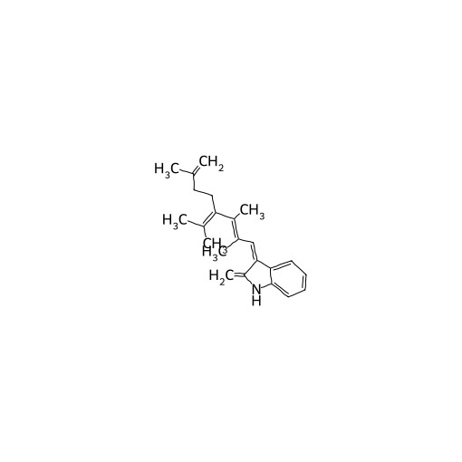 C=C(C)CCC(=C(C)C)/C(C)=C(C)/C=c1\c(=C)[nH]c2ccccc12